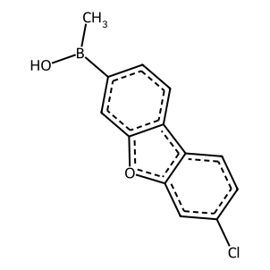 CB(O)c1ccc2c(c1)oc1cc(Cl)ccc12